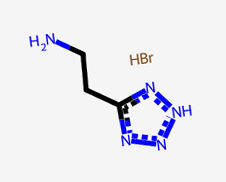 Br.NCCc1nn[nH]n1